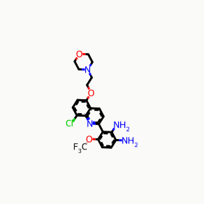 Nc1ccc(OC(F)(F)F)c(-c2ccc3c(OCCN4CCOCC4)ccc(Cl)c3n2)c1N